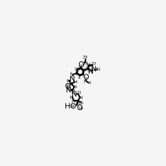 CCOc1cc(CN2CC3(CC(N4CCC(C)(C(=O)O)CC4)=NO3)C2)cc(OCC)c1-c1ccn(C)n1